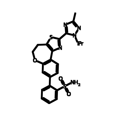 Cc1nc(-c2nc3c(s2)CCOc2cc(-c4ccccc4S(N)(=O)=O)ccc2-3)n(C(C)C)n1